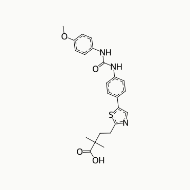 COc1ccc(NC(=O)Nc2ccc(-c3cnc(CCC(C)(C)C(=O)O)s3)cc2)cc1